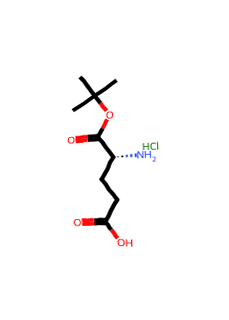 CC(C)(C)OC(=O)[C@H](N)CCC(=O)O.Cl